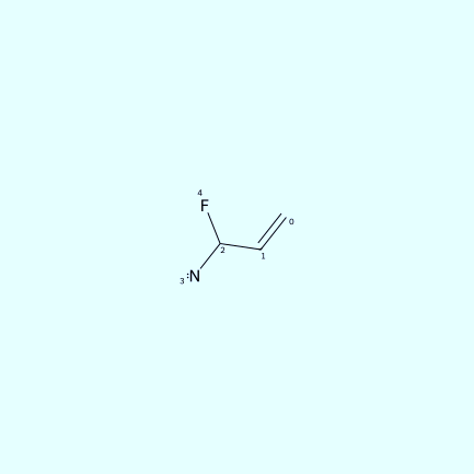 C=CC([N])F